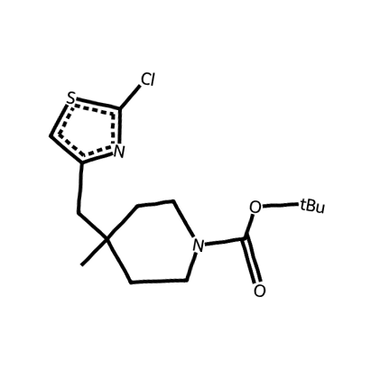 CC1(Cc2csc(Cl)n2)CCN(C(=O)OC(C)(C)C)CC1